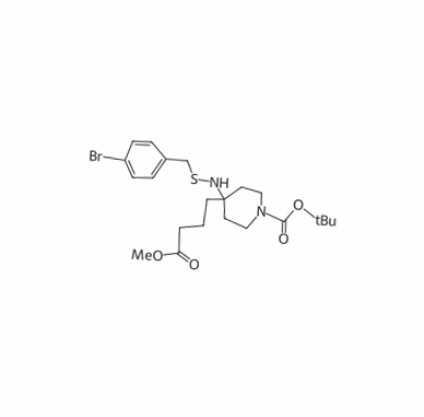 COC(=O)CCCC1(NSCc2ccc(Br)cc2)CCN(C(=O)OC(C)(C)C)CC1